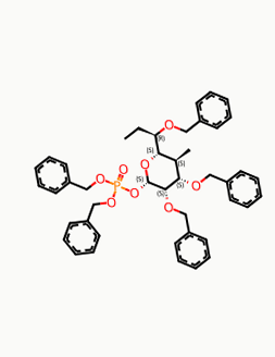 CC[C@@H](OCc1ccccc1)[C@H]1O[C@@H](OP(=O)(OCc2ccccc2)OCc2ccccc2)[C@@H](OCc2ccccc2)[C@@H](OCc2ccccc2)[C@@H]1C